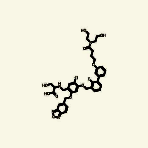 O=C(O)C(CO)NCc1cc(Cl)c(OCc2cccc(-c3cccc(OCCCC(=O)N(CCO)CCO)c3)c2F)cc1OCc1ccc2nonc2c1